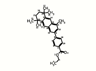 CCOC(=O)c1ccc(-c2cc(C)c3cc4c(cc3c2)C(C)(C)CCC4(C)C)cc1